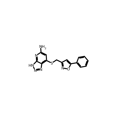 Nc1cc(SCc2cc(-c3ccccc3)on2)c2nn[nH]c2n1